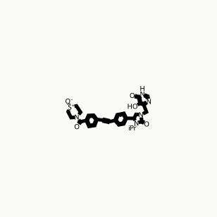 CC(C)N1C(=O)N(Cc2nc[nH]c(=O)c2O)CC1c1ccc(C#Cc2ccc(C(=O)N3CC[S+]([O-])CC3)cc2)cc1